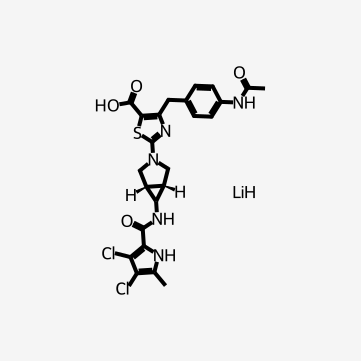 CC(=O)Nc1ccc(Cc2nc(N3C[C@@H]4C(NC(=O)c5[nH]c(C)c(Cl)c5Cl)[C@@H]4C3)sc2C(=O)O)cc1.[LiH]